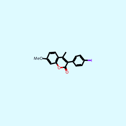 COc1ccc2c(C)c(-c3ccc(I)cc3)c(=O)oc2c1